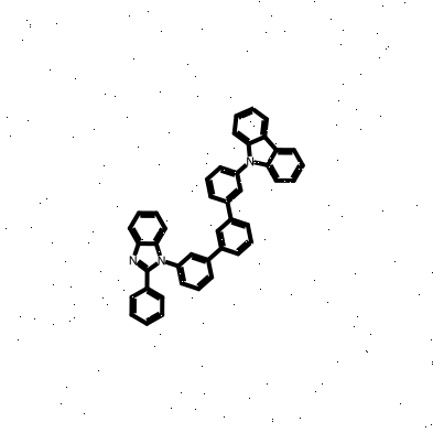 c1ccc(-c2nc3ccccc3n2-c2cccc(-c3cccc(-c4cccc(-n5c6ccccc6c6ccccc65)c4)c3)c2)cc1